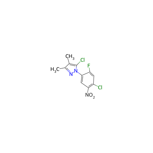 Cc1nn(-c2cc([N+](=O)[O-])c(Cl)cc2F)c(Cl)c1C